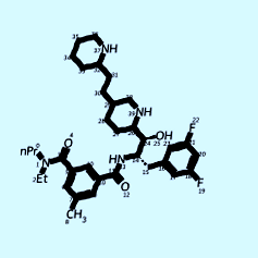 CCCN(CC)C(=O)c1cc(C)cc(C(=O)N[C@@H](Cc2cc(F)cc(F)c2)[C@H](O)C2CCC(CCC3CCCCN3)CN2)c1